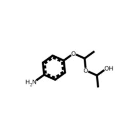 CC(O)OC(C)Oc1ccc(N)cc1